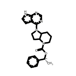 C[C@@H](OC(=O)N1CCCC2C1CCN2c1ncnc2[nH]ccc12)c1ccccc1